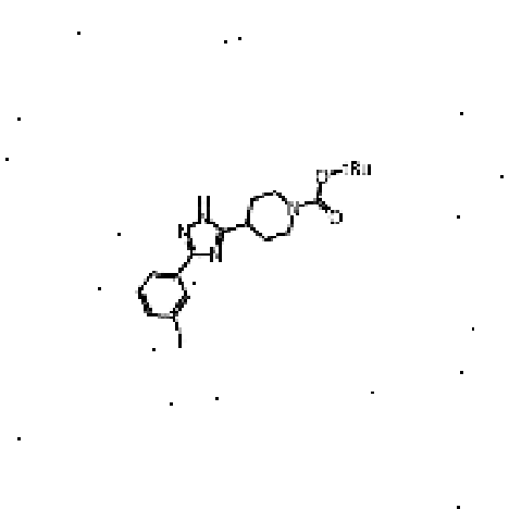 CC(C)(C)OC(=O)N1CCC(c2nc(-c3cccc(F)c3)n[nH]2)CC1